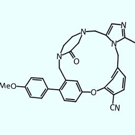 COc1ccc(-c2ccc3cc2CN2CCN(CC2=O)Cc2cnc(C)n2Cc2ccc(C#N)c(c2)O3)cc1